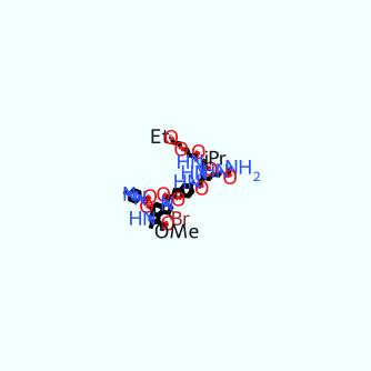 CCOCCOCCC(=O)NC(C(=O)NC(CCCNC(N)=O)C(=O)Nc1ccc2oc(C(=O)N3C[C@@H](CBr)c4c3cc(OC(=O)N3CCN(C)CC3)c3[nH]c(C)c(C(=O)OC)c43)cc2c1)C(C)C